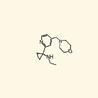 CCNC1(c2cc(CN3CCOCC3)ccn2)CC1